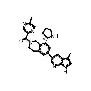 Cc1cnc(C(=O)N2CCc3cc(-c4cnc5[nH]cc(C)c5c4)cc([C@@H]4CCCN4)c3C2)cn1